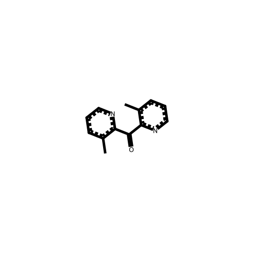 Cc1cccnc1C(=O)c1ncccc1C